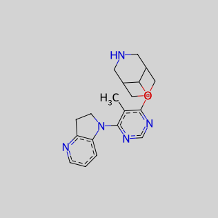 Cc1c(OC2C3CNCC2COC3)ncnc1N1CCc2ncccc21